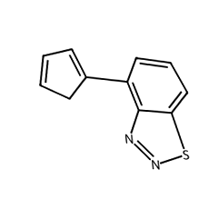 C1=CCC(c2cccc3snnc23)=C1